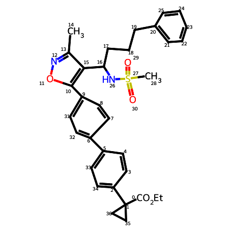 CCOC(=O)C1(c2ccc(-c3ccc(-c4onc(C)c4C(CCCc4ccccc4)NS(C)(=O)=O)cc3)cc2)CC1